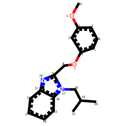 COc1cccc(OCc2nc3ccccc3n2CC(C)C)c1